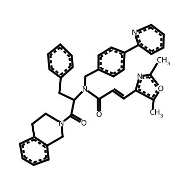 Cc1nc(C=CC(=O)N(Cc2ccc(-c3ccccn3)cc2)C(Cc2ccccc2)C(=O)N2CCc3ccccc3C2)c(C)o1